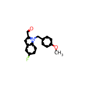 COc1ccc(Cn2c(C=O)cc3cc(F)ccc32)cc1